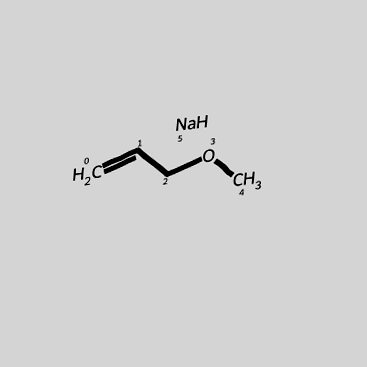 C=CCOC.[NaH]